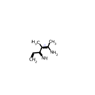 C=CC(=N)/C(C)=C(/C)N